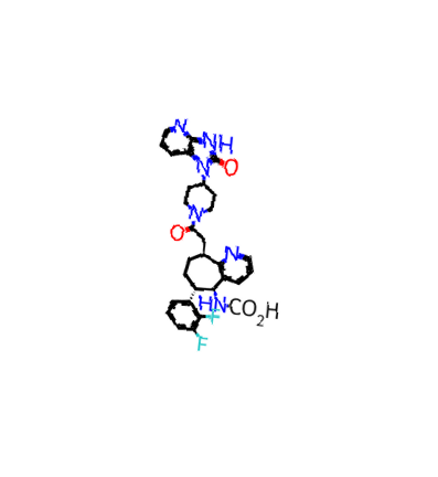 O=C(O)N[C@@H]1c2cccnc2[C@H](CC(=O)N2CCC(n3c(=O)[nH]c4ncccc43)CC2)CC[C@H]1c1cccc(F)c1F